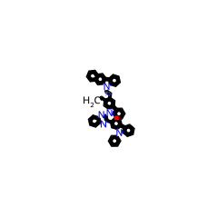 C=Cc1cc2c(cc1/C=C/n1c3ccccc3c3cc4ccccc4cc31)c1ccccc1n2-c1nc2ccccc2nc1-c1ccc2c3ccccc3n(-c3ccccc3)c2c1